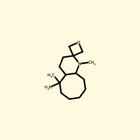 CN1C2CCCCCC(C)(N)C2CCC12COC2